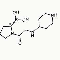 O=C(CNC1CCNCC1)N1CCC[C@H]1B(O)O